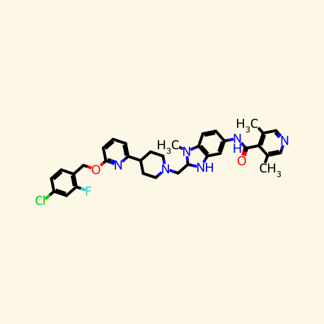 Cc1cncc(C)c1C(=O)Nc1ccc2c(c1)NC(CN1CCC(c3cccc(OCc4ccc(Cl)cc4F)n3)CC1)N2C